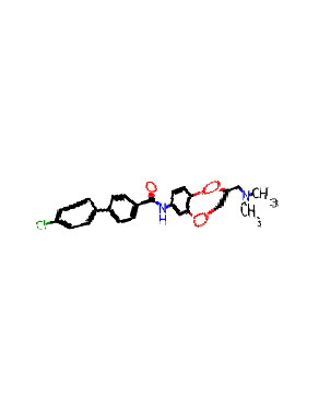 CN(C)CC1COc2cc(NC(=O)c3ccc(-c4ccc(Cl)cc4)cc3)ccc2O1